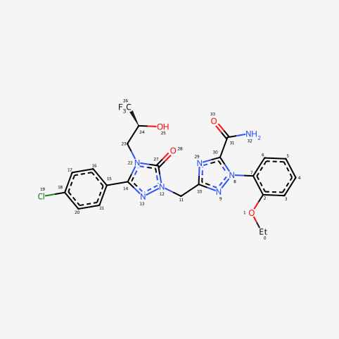 CCOc1ccccc1-n1nc(Cn2nc(-c3ccc(Cl)cc3)n(C[C@H](O)C(F)(F)F)c2=O)nc1C(N)=O